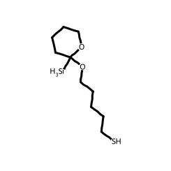 [SiH3]C1(OCCCCCS)CCCCO1